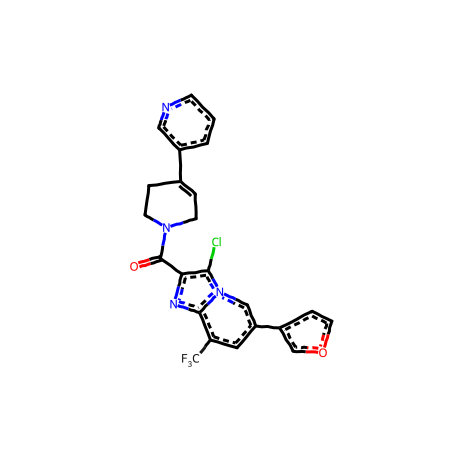 O=C(c1nc2c(C(F)(F)F)cc(-c3ccoc3)cn2c1Cl)N1CC=C(c2cccnc2)CC1